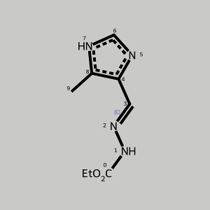 CCOC(=O)N/N=C/c1nc[nH]c1C